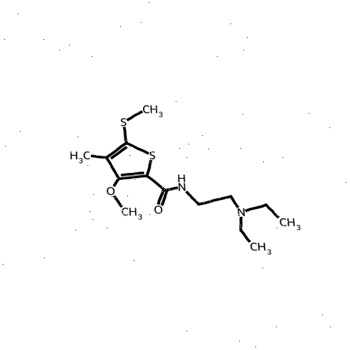 CCN(CC)CCNC(=O)c1sc(SC)c(C)c1OC